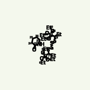 CCO[Si](OCC)(OCC)C(CC)SSSSC(CC)[Si](OCC)(OCC)OCC.O=C1CCCCN1